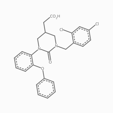 O=C(O)CC1CN(Cc2ccc(Cl)cc2Cl)C(=O)N(c2ccccc2Oc2ccccc2)C1